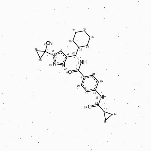 N#CC1(n2cc([C@@H](NC(=O)c3ccc(NC(=O)C4CC4)cc3)C3CCCCC3)nn2)CC1